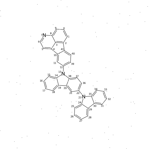 c1cc2c3c(ccnc3c1)-c1cc(-n3c4ccccc4c4cc(-n5c6ccccc6c6ccccc65)ccc43)ccc1-2